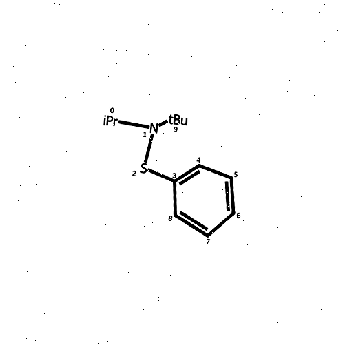 CC(C)N(Sc1ccccc1)C(C)(C)C